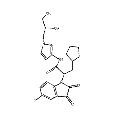 O=C1C(=O)N(C(CC2CCCC2)C(=O)Nc2ccn(C[C@@H](O)CO)n2)c2ccc(Cl)cc21